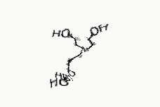 OBOCCN(CCO)CCO